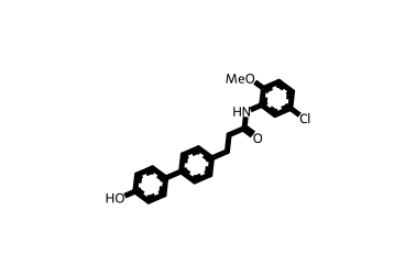 COc1ccc(Cl)cc1NC(=O)CCc1ccc(-c2ccc(O)cc2)cc1